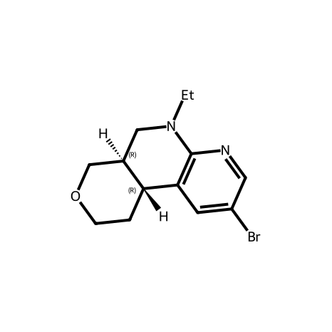 CCN1C[C@@H]2COCC[C@H]2c2cc(Br)cnc21